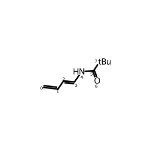 C=CC=CNC(=O)C(C)(C)C